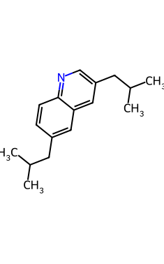 CC(C)Cc1ccc2ncc(CC(C)C)cc2c1